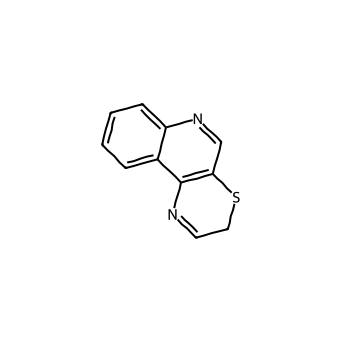 C1=Nc2c(cnc3ccccc23)SC1